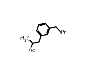 CC(=O)C(C)Cc1cccc(CC(C)C)c1